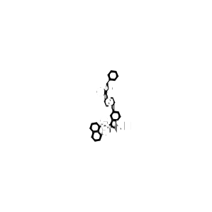 O=C(OCc1ccccc1)N1CCN(c2ccc3[nH]nc(S(=O)(=O)c4cccc5ccccc45)c3c2)CC1